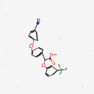 COC(=O)C(Oc1cccc(C(F)(F)F)c1)c1ccc(Oc2ccc(C#N)cc2)cc1